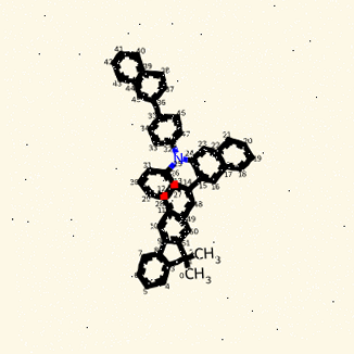 CC1(C)c2ccccc2-c2cc3ccc(-c4cc5ccccc5cc4N(c4ccccc4)c4ccc(-c5ccc6ccccc6c5)cc4)cc3cc21